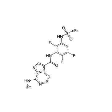 CCCS(=O)(=O)Nc1cc(F)c(F)c(NC(=O)c2csc3c(NC(C)C)ncnc23)c1F